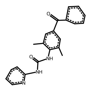 Cc1cc(C(=O)c2ccccc2)cc(C)c1NC(=O)Nc1ccccn1